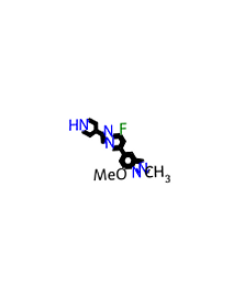 COc1cc(-c2cc(F)c3nc(C4CCNCC4)cn3c2)cc2cn(C)nc12